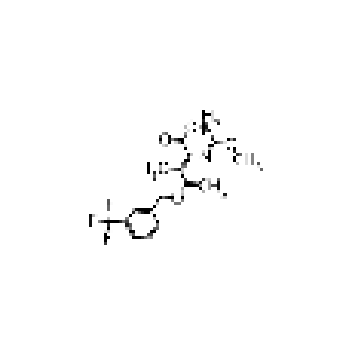 C=C(OCc1cccc(C(F)(F)F)c1)/C(C)=C(\N=C(/N)OC)C(=O)O